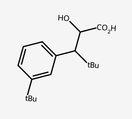 CC(C)(C)c1cccc(C(C(O)C(=O)O)C(C)(C)C)c1